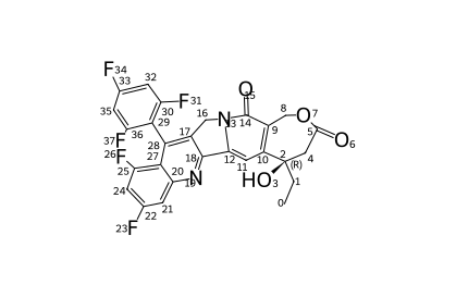 CC[C@@]1(O)CC(=O)OCc2c1cc1n(c2=O)Cc2c-1nc1cc(F)cc(F)c1c2-c1c(F)cc(F)cc1F